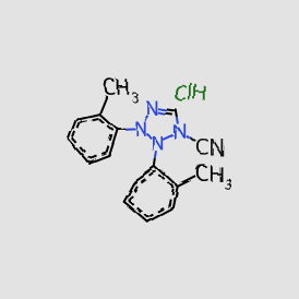 Cc1ccccc1N1N=CN(C#N)N1c1ccccc1C.Cl